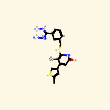 Cc1cc(-c2cc(=O)[nH]c(SCc3cccc(/C(=N/N)NN)c3)c2C#N)cs1